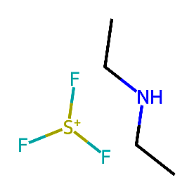 CCNCC.F[S+](F)F